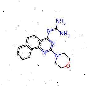 NC(N)=Nc1nc(N2CCOCC2)nc2c1ccc1ccccc12